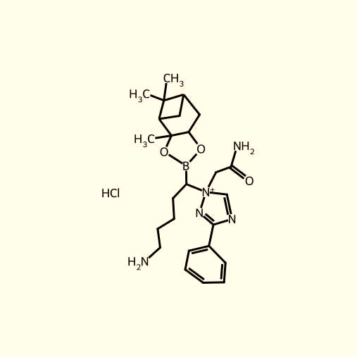 CC1(C)C2CC3OB(C(CCCCN)[N+]4(CC(N)=O)C=NC(c5ccccc5)=N4)OC3(C)C1C2.Cl